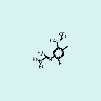 CCN(CC)/C(=N/c1cc([S+]([O-])CC(F)(F)F)c(C)cc1F)C(F)(F)F